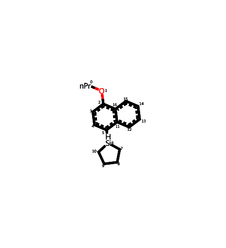 CCCOc1ccc([SiH]2CCCC2)c2ccccc12